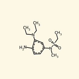 CCN(CC)c1cc(N(C)S(=O)(=O)CC)ccc1N